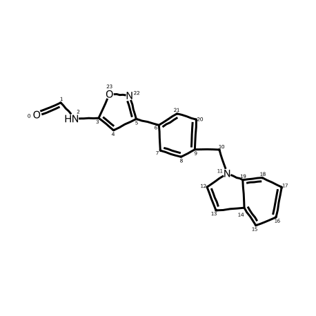 O=CNc1cc(-c2ccc(Cn3ccc4ccccc43)cc2)no1